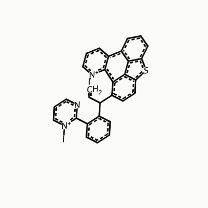 C=CC(c1ccccc1-c1nccc[n+]1I)c1ccc2sc3cccc4c5ccc[n+](I)c5c1c2c34